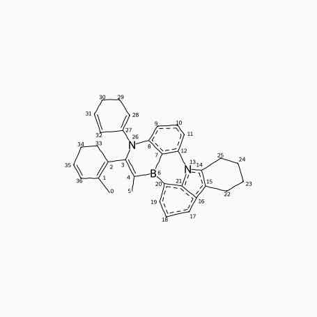 CC1=C(C2=C(C)B3c4c(cccc4-n4c5c(c6cccc3c64)CCCC5)N2C2=CCCC=C2)CCC=C1